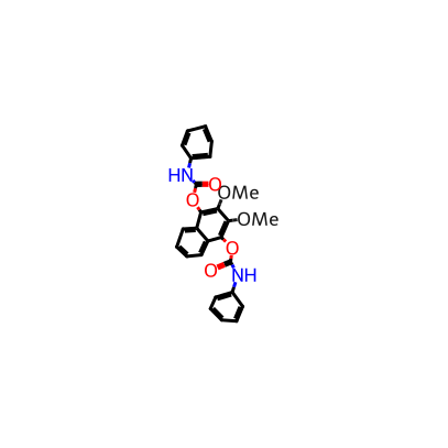 COc1c(OC)c(OC(=O)Nc2ccccc2)c2ccccc2c1OC(=O)Nc1ccccc1